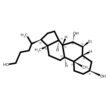 CC[C@@H]1[C@@H](O)[C@@H]2[C@H](CC[C@]3(C)[C@@H](C(C)CCCO)CC[C@@H]23)[C@@]2(C)CC[C@H](O)C[C@@H]12